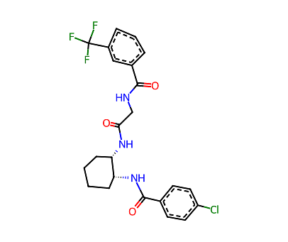 O=C(CNC(=O)c1cccc(C(F)(F)F)c1)N[C@H]1CCCC[C@H]1NC(=O)c1ccc(Cl)cc1